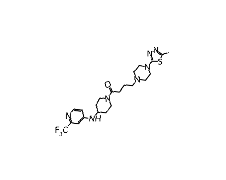 Cc1nnc(N2CCN(CCCC(=O)N3CCC(Nc4ccnc(C(F)(F)F)c4)CC3)CC2)s1